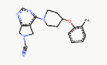 Cc1ccccc1OC1CCN(c2ncnc3c2CN(C#N)C3)CC1